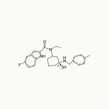 CCN(C(=O)c1cc2cc(F)ccc2[nH]1)C1CCC[C@@](S)(NCc2ccc(C)cc2)C1